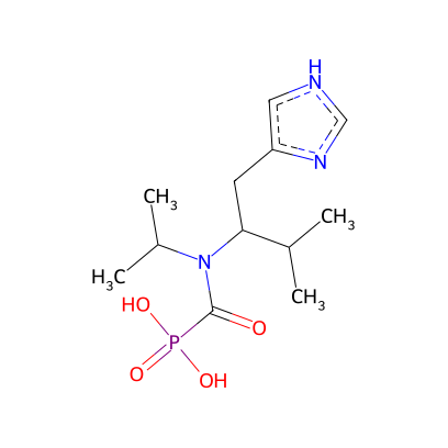 CC(C)C(Cc1c[nH]cn1)N(C(=O)P(=O)(O)O)C(C)C